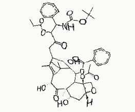 CCC(=O)OC(C(=O)CC1C[C@@]2(O)C(OC(=O)c3ccccc3)C3[C@](C)(C(=O)[C@H](O)C(=C1C)C2(C)C)[C@@H](O)C[C@H]1OC[C@@]31OC(C)=O)C(NC(=O)OC(C)(C)C)c1ccccc1